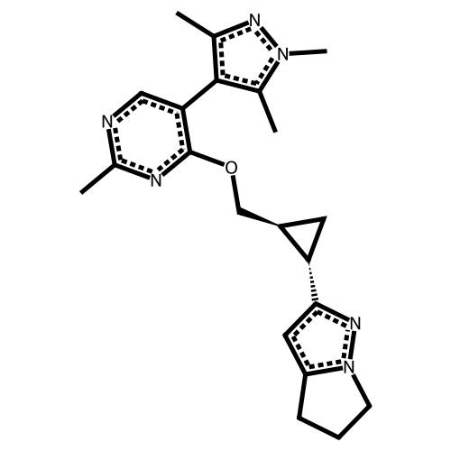 Cc1ncc(-c2c(C)nn(C)c2C)c(OC[C@H]2C[C@@H]2c2cc3n(n2)CCC3)n1